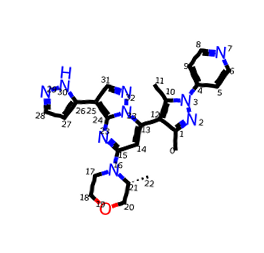 Cc1nn(-c2ccncc2)c(C)c1-c1cc(N2CCOC[C@H]2C)nc2c(-c3ccn[nH]3)cnn12